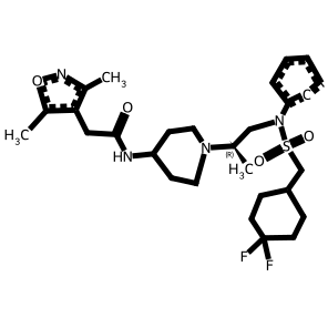 Cc1noc(C)c1CC(=O)NC1CCN([C@H](C)CN(c2ccccc2)S(=O)(=O)CC2CCC(F)(F)CC2)CC1